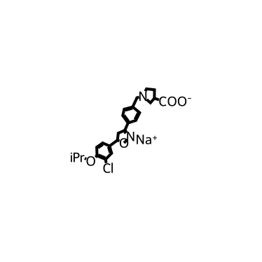 CC(C)Oc1ccc(C2CC(c3ccc(CN4CCC(C(=O)[O-])C4)cc3)=NO2)cc1Cl.[Na+]